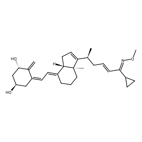 C=C1/C(=C\C=C2/CCC[C@]3(C)C([C@@H](C)C/C=C/C(=NOC)C4CC4)=CC[C@@H]23)C[C@@H](O)C[C@@H]1O